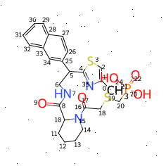 Cc1csc(C(CNC(=O)C2CCCCN2C(=O)CSCP(=O)(O)O)c2ccc3ccccc3c2)n1